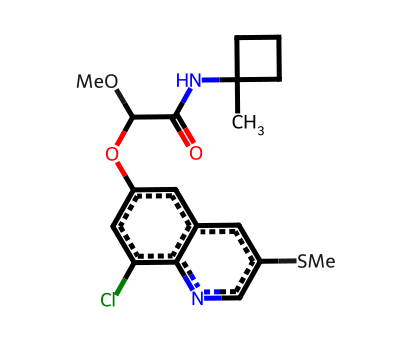 COC(Oc1cc(Cl)c2ncc(SC)cc2c1)C(=O)NC1(C)CCC1